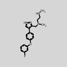 CNCCN(C)Cc1n[nH]cc1-c1ccc(Oc2cccc(F)c2)cc1